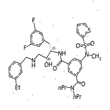 CCCN(CCC)C(=O)c1cc(C(=O)N[C@@H](Cc2cc(F)cc(F)c2)[C@H](O)CNCc2cccc(CC)c2)cc(N(C)S(=O)(=O)c2cccs2)c1